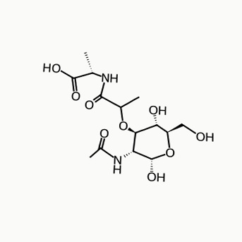 CC(=O)N[C@@H]1[C@@H](OC(C)C(=O)N[C@@H](C)C(=O)O)[C@H](O)[C@@H](CO)O[C@@H]1O